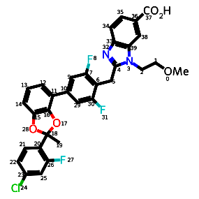 COCCn1c(Cc2c(F)cc(-c3cccc4c3OC(C)(c3ccc(Cl)cc3F)O4)cc2F)nc2ccc(C(=O)O)cc21